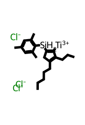 CCCCCC1=C(CCC)[C]([Ti+3])=C([SiH2]c2c(C)cc(C)cc2C)C1.[Cl-].[Cl-].[Cl-]